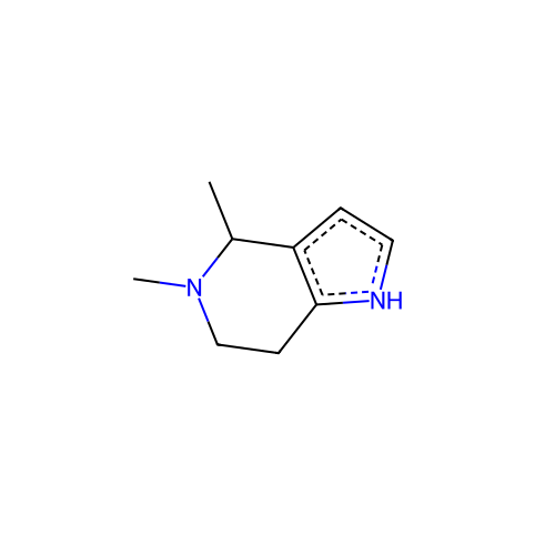 CC1c2cc[nH]c2CCN1C